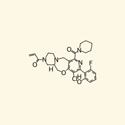 C=CC(=O)N1CCN2Cc3c(C(=O)N4CCCCC4)nc(-c4c(O)cccc4F)c(Cl)c3OC[C@H]2C1